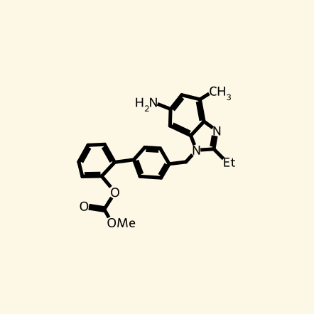 CCc1nc2c(C)cc(N)cc2n1Cc1ccc(-c2ccccc2OC(=O)OC)cc1